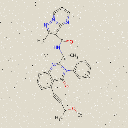 CCOC(C)C#Cc1cccc2nc([C@@H](C)NC(=O)c3c(C)nn4cccnc34)n(-c3ccccc3)c(=O)c12